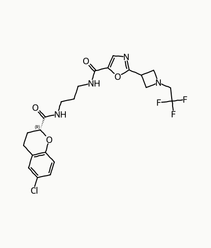 O=C(NCCCNC(=O)[C@H]1CCc2cc(Cl)ccc2O1)c1cnc(C2CN(CC(F)(F)F)C2)o1